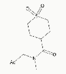 CC(=O)CN(C)C(=O)C1CCS(=O)(=O)CC1